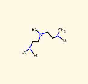 CCN(C)CCN(CC)CCN(CC)CC